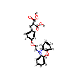 COC(=O)C(Cc1ccc(OCCN2c3ccccc3Oc3ccccc32)cc1)C(=O)OC